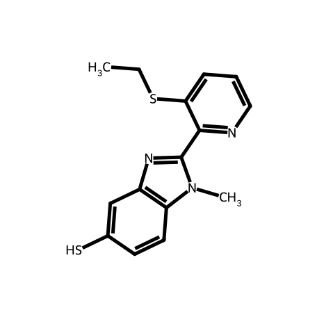 CCSc1cccnc1-c1nc2cc(S)ccc2n1C